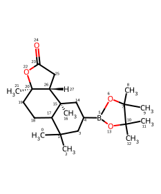 CC1(C)CC(B2OC(C)(C)C(C)(C)O2)C[C@@]2(C)C1CC[C@@]1(C)OC(=O)C[C@@H]12